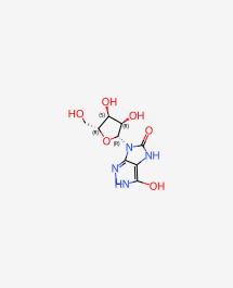 O=c1[nH]c2c(n1[C@@H]1O[C@H](CO)[C@@H](O)[C@H]1O)=NCNC=2O